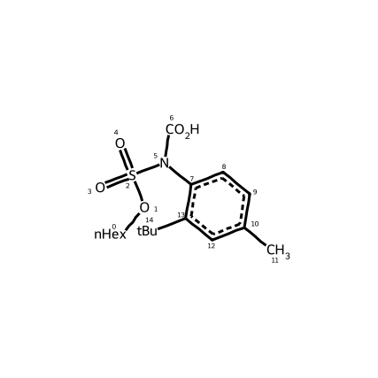 CCCCCCOS(=O)(=O)N(C(=O)O)c1ccc(C)cc1C(C)(C)C